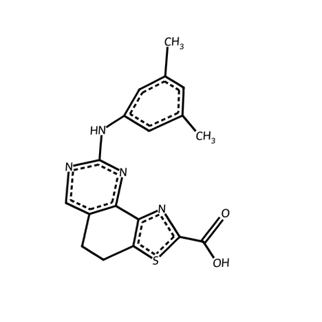 Cc1cc(C)cc(Nc2ncc3c(n2)-c2nc(C(=O)O)sc2CC3)c1